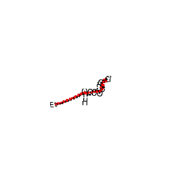 CCC=CCC=CCC=CCC=CCC=CCC=CCCC(=O)NCCOCCOCCNC(=O)C(C)(C)Oc1ccc(C(=O)c2ccc(Cl)cc2)cc1